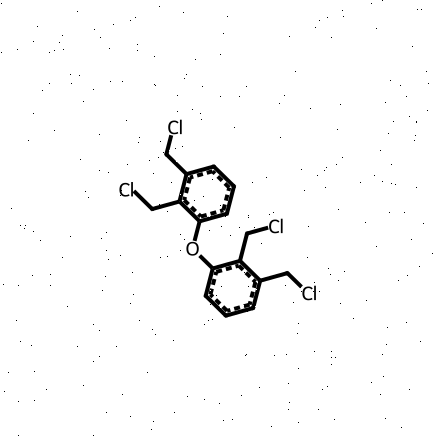 ClCc1cccc(Oc2cccc(CCl)c2CCl)c1CCl